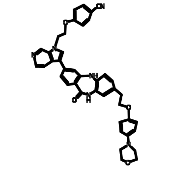 N#Cc1ccc(OCCn2cc(-c3ccc4c(c3)Nc3ccc(CCOc5ccc(N6CCOCC6)cc5)cc3NC4=O)c3ccncc32)cc1